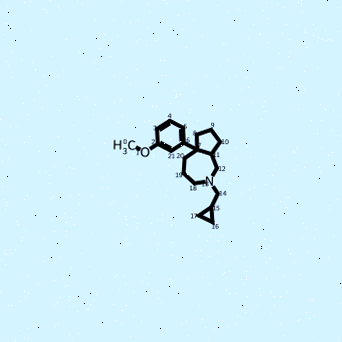 COc1cccc(C23CCCC2CN(CC2CC2)CCC3)c1